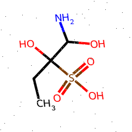 CCC(O)(C(N)O)S(=O)(=O)O